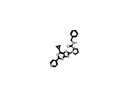 O=C(NCc1ccccc1)[C@H]1CCCN1c1nc2nc(-c3ccncc3)nc(C3CC3)c2s1